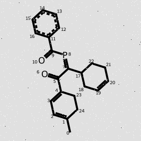 CC1=CC=C(C(=O)/C(=P\C(=O)c2ccccc2)C2CC=CCC2)CC1